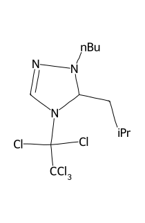 CCCCN1N=CN(C(Cl)(Cl)C(Cl)(Cl)Cl)C1CC(C)C